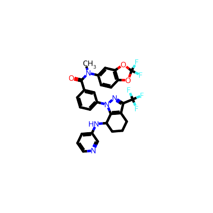 CN(C(=O)c1cccc(-n2nc(C(F)(F)F)c3c2C(Nc2cccnc2)CCC3)c1)c1ccc2c(c1)OC(F)(F)O2